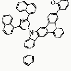 c1ccc(-c2ccc3c(c2)c2cc4c5ccccc5c5cc(-c6cccc7ccoc67)ccc5c4cc2n3-c2cc(-c3cccc4ccccc34)nc(-c3cccc4ccccc34)c2)cc1